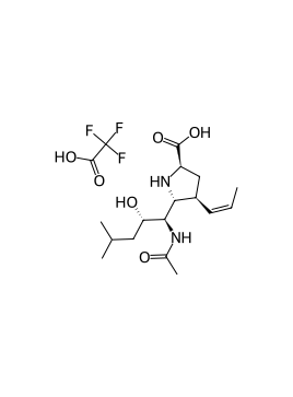 C/C=C\[C@@H]1C[C@H](C(=O)O)N[C@H]1[C@@H](NC(C)=O)[C@@H](O)CC(C)C.O=C(O)C(F)(F)F